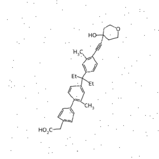 CCC(CC)(c1ccc(C#CC2(O)CCOCC2)c(C)c1)c1ccc(-c2ccc(CC(=O)O)cc2)c(C)c1